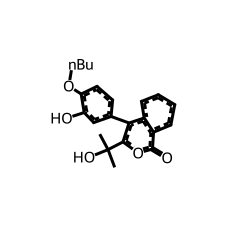 CCCCOc1ccc(-c2c(C(C)(C)O)oc(=O)c3ccccc23)cc1O